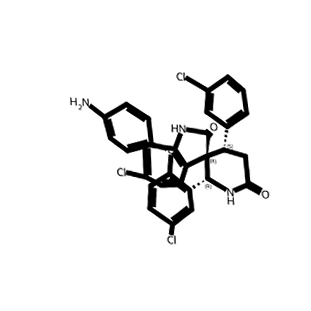 Nc1ccc(Oc2ccc(Cl)cc2[C@H]2NC(=O)C[C@@H](c3cccc(Cl)c3)[C@]23C(=O)Nc2cc(Cl)ccc23)cc1